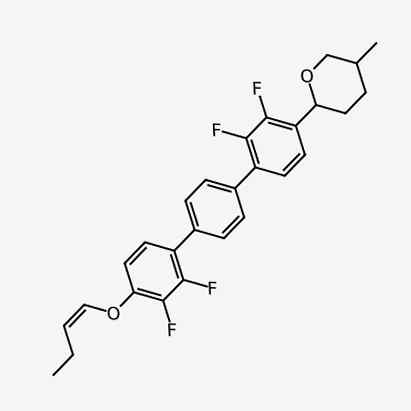 CC/C=C\Oc1ccc(-c2ccc(-c3ccc(C4CCC(C)CO4)c(F)c3F)cc2)c(F)c1F